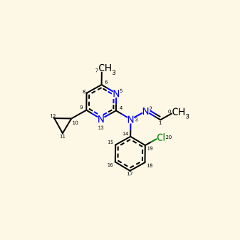 CC=NN(c1nc(C)cc(C2CC2)n1)c1ccccc1Cl